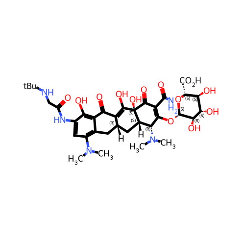 CN(C)c1cc(NC(=O)CNC(C)(C)C)c(O)c2c1C[C@H]1C[C@H]3[C@@H](N(C)C)C(O[C@@H]4O[C@H](C(=O)O)[C@@H](O)[C@H](O)[C@H]4O)=C(C(N)=O)C(=O)[C@@]3(O)C(O)=C1C2=O